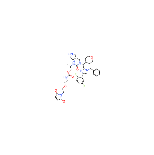 C[C@@H](COC(=O)NCCOCCN1C(=O)C=CC1=O)NC(=O)N(C[C@H]1CCNC1)[C@@H](c1nc(-c2cc(F)ccc2F)cn1Cc1ccccc1)C1CCOCC1